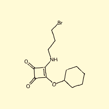 O=c1c(NCCCBr)c(OC2CCCCC2)c1=O